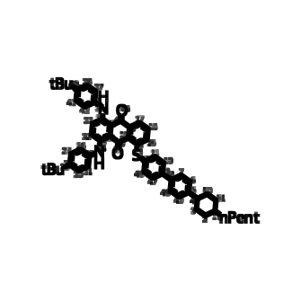 CCCCCC1CCC(c2ccc(-c3ccc(Sc4cccc5c4C(=O)c4c(Nc6ccc(C(C)(C)C)cc6)ccc(Nc6ccc(C(C)(C)C)cc6)c4C5=O)cc3)cc2)CC1